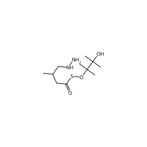 CC(CNN)CC(=O)SOC(C)(C)C(C)(C)O